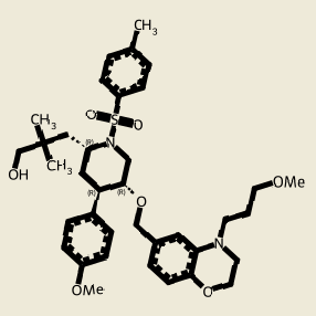 COCCCN1CCOc2ccc(CO[C@H]3CN(S(=O)(=O)c4ccc(C)cc4)[C@@H](CC(C)(C)CO)C[C@@H]3c3ccc(OC)cc3)cc21